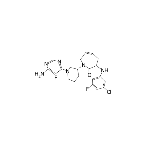 Nc1ncnc(N2CCC[C@@H](N3CC=CCC(Nc4cc(F)cc(Cl)c4)C3=O)C2)c1F